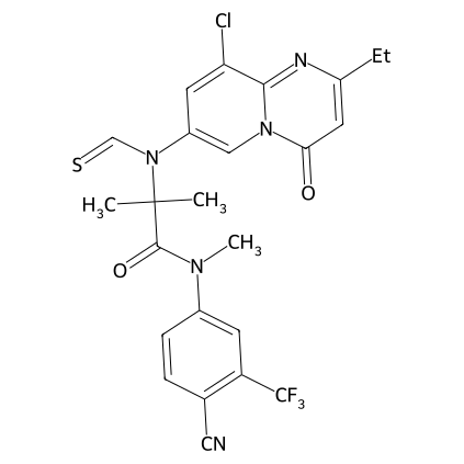 CCc1cc(=O)n2cc(N(C=S)C(C)(C)C(=O)N(C)c3ccc(C#N)c(C(F)(F)F)c3)cc(Cl)c2n1